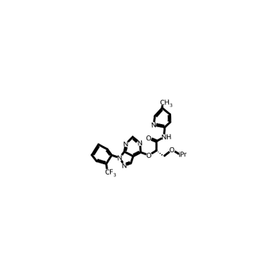 Cc1ccc(NC(=O)[C@H](COC(C)C)Oc2ncnc3c2cnn3-c2ccccc2C(F)(F)F)nc1